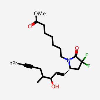 CCCC#CCC(C)C(O)C=C[C@H]1CC(F)(F)C(=O)N1CCCCCCC(=O)OC